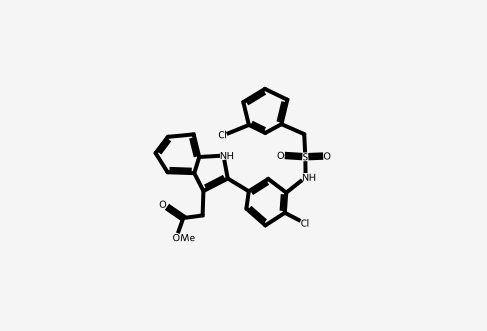 COC(=O)Cc1c(-c2ccc(Cl)c(NS(=O)(=O)Cc3cccc(Cl)c3)c2)[nH]c2ccccc12